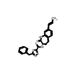 C/C=C/c1ccc2c(c1)NC(=O)[C@@H](NC(=O)c1nnc(Cc3ccccc3)o1)CC2